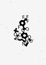 CN(CCC1=NC=C[N+]1(C(=O)[O-])c1ccc(OC(=O)c2cc(C(F)(F)F)ccc2F)cc1)C(=O)OC(C)(C)C